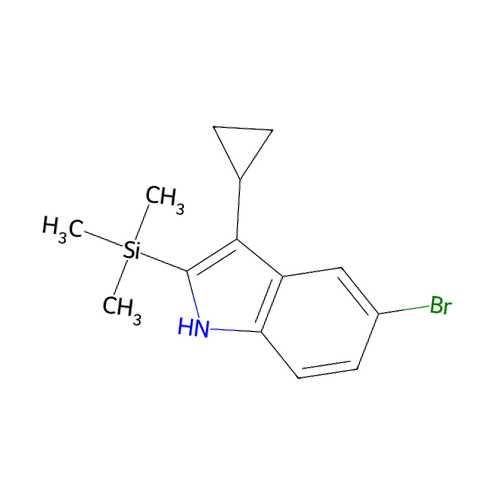 C[Si](C)(C)c1[nH]c2ccc(Br)cc2c1C1CC1